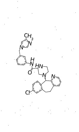 Cc1cn(Cc2cccc(NC(=O)C3CN([C@@H]4c5ccc(Cl)cc5CCc5cccnc54)CCN3)c2)cn1